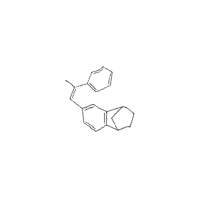 CC(=Cc1ccc2c(c1)C1CCC2C1)c1ccccc1